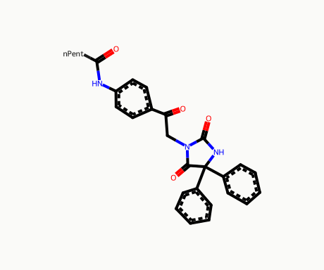 CCCCCC(=O)Nc1ccc(C(=O)CN2C(=O)NC(c3ccccc3)(c3ccccc3)C2=O)cc1